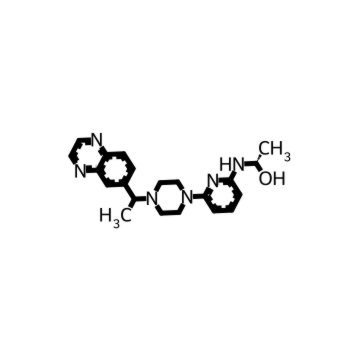 CC(c1ccc2nccnc2c1)N1CCN(c2cccc(N[C@H](C)O)n2)CC1